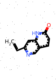 C=Cc1cc2[nH]c(=O)ccc2cn1